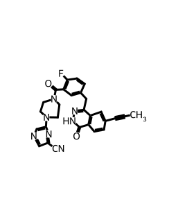 CC#Cc1ccc2c(=O)[nH]nc(Cc3ccc(F)c(C(=O)N4CCN(c5cncc(C#N)n5)CC4)c3)c2c1